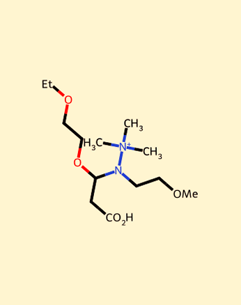 CCOCCOC(CC(=O)O)N(CCOC)[N+](C)(C)C